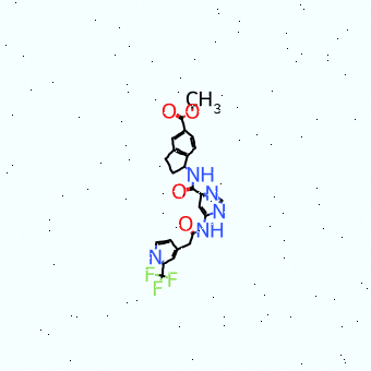 COC(=O)c1ccc2c(c1)CC[C@@H]2NC(=O)c1cc(NC(=O)Cc2ccnc(C(F)(F)F)c2)ncn1